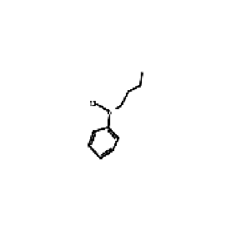 CCCC[N+](Cl)c1ccccc1